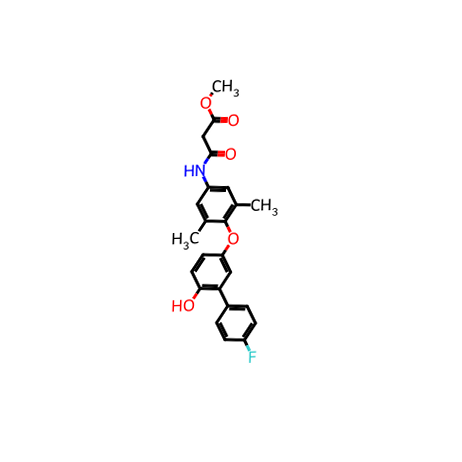 COC(=O)CC(=O)Nc1cc(C)c(Oc2ccc(O)c(-c3ccc(F)cc3)c2)c(C)c1